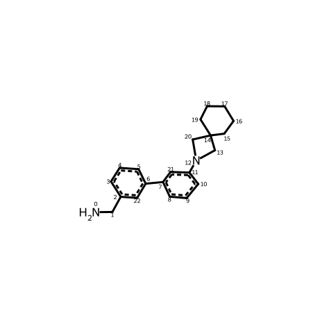 NCc1cccc(-c2cccc(N3CC4(CCCCC4)C3)c2)c1